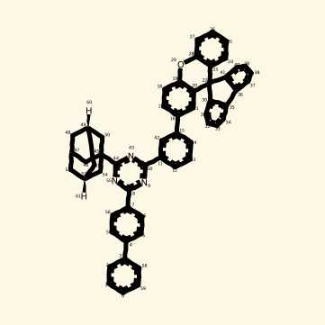 c1ccc(-c2ccc(-c3nc(-c4cccc(-c5ccc6c(c5)C5(c7ccccc7O6)c6ccccc6-c6ccccc65)c4)nc(C45CC6C[C@H](C4)C[C@@H](C6)C5)n3)cc2)cc1